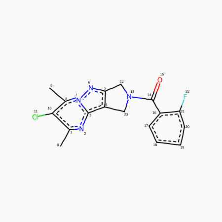 Cc1nc2c3c(nn2c(C)c1Cl)CN(C(=O)c1ccccc1F)C3